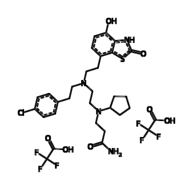 NC(=O)CCN(CCN(CCc1ccc(Cl)cc1)CCc1ccc(O)c2[nH]c(=O)sc12)C1CCCC1.O=C(O)C(F)(F)F.O=C(O)C(F)(F)F